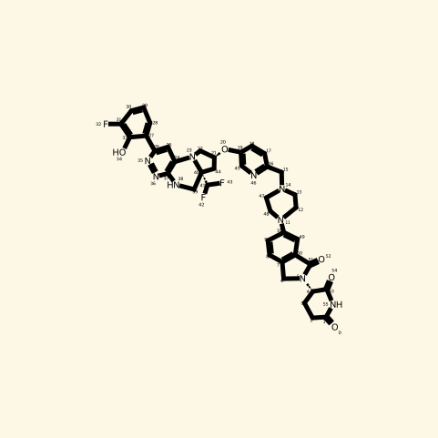 O=C1CC[C@H](N2Cc3ccc(N4CCN(Cc5ccc(O[C@H]6CN7c8cc(-c9cccc(F)c9O)nnc8NC[C@]7(C(F)F)C6)cn5)CC4)cc3C2=O)C(=O)N1